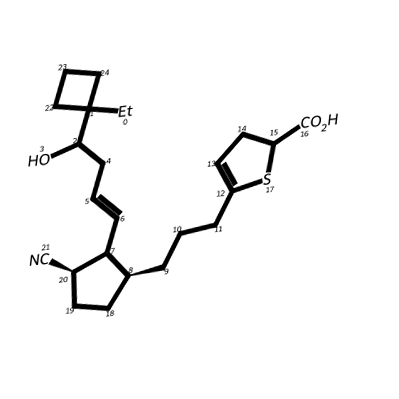 CCC1(C(O)C/C=C/C2[C@@H](CCCC3=CCC(C(=O)O)S3)CC[C@H]2C#N)CCC1